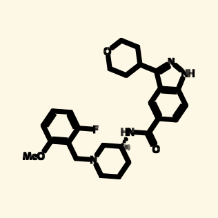 COc1cccc(F)c1CN1CCC[C@@H](NC(=O)c2ccc3[nH]nc(C4CCOCC4)c3c2)C1